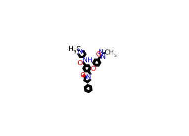 Cc1noc(-c2ccc(Oc3cc(C(=O)NC4CCN(C)CC4)ccc3CN3C[C@H](c4ccccc4)CC3=O)cc2)n1